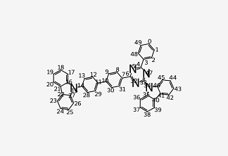 c1ccc(-c2nc(-c3ccc(-c4ccc(-n5c6ccccc6c6ccccc65)cc4)cc3)nc(-n3c4ccccc4c4ccccc43)n2)cc1